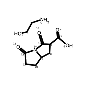 NCCO.O=C(O)C1CC2CCC(=O)N2C1=O